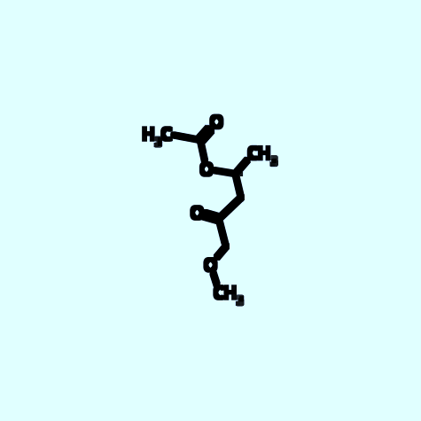 COCC(=O)C[C](C)OC(C)=O